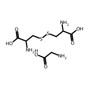 NC(CSSCC(N)C(=O)O)C(=O)O.NCC(=O)O